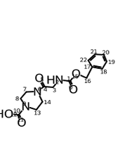 O=C(NCC(=O)N1CCN(C(=O)O)CC1)OCc1ccccc1